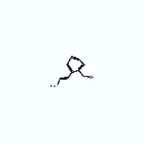 O=C(O)/C=C/c1ccccc1CO